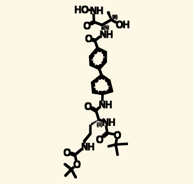 C[C@@H](O)[C@H](NC(=O)c1ccc(-c2ccc(NC(=O)[C@@H](CCCNC(=O)OC(C)(C)C)NC(=O)OC(C)(C)C)cc2)cc1)C(=O)NO